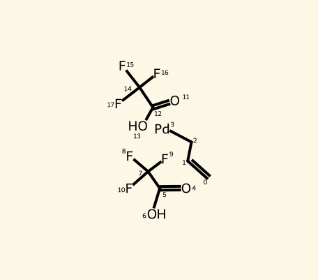 C=C[CH2][Pd].O=C(O)C(F)(F)F.O=C(O)C(F)(F)F